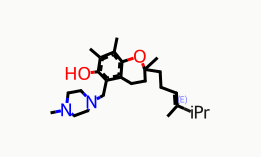 C/C(=C\CCC1(C)CCc2c(CN3CCN(C)CC3)c(O)c(C)c(C)c2O1)C(C)C